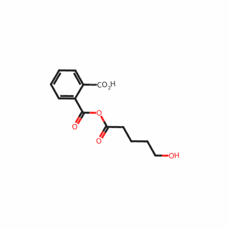 O=C(CCCCO)OC(=O)c1ccccc1C(=O)O